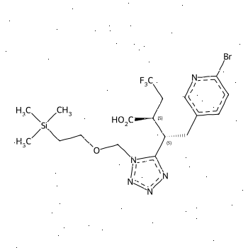 C[Si](C)(C)CCOCn1nnnc1[C@@H](Cc1ccc(Br)nc1)[C@H](CC(F)(F)F)C(=O)O